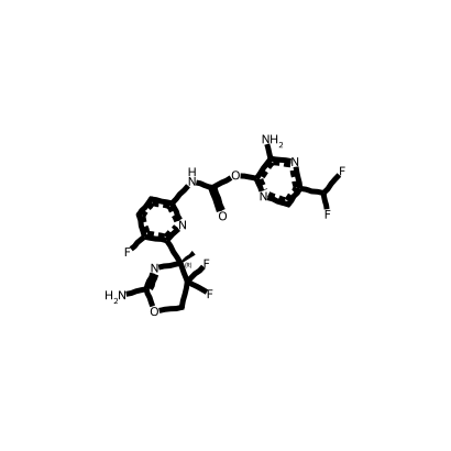 C[C@]1(c2nc(NC(=O)Oc3ncc(C(F)F)nc3N)ccc2F)N=C(N)OCC1(F)F